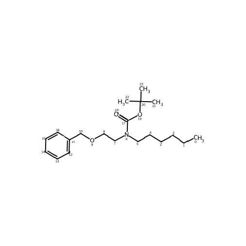 CCCCCCN(CCOCc1ccccc1)C(=O)OC(C)(C)C